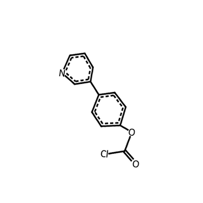 O=C(Cl)Oc1ccc(-c2cccnc2)cc1